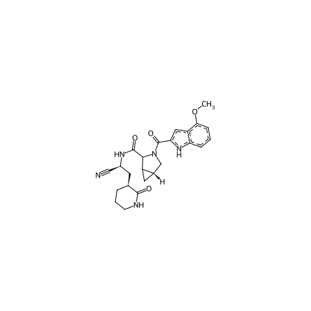 COc1cccc2[nH]c(C(=O)N3C[C@@H]4CC4C3C(=O)N[C@H](C#N)C[C@@H]3CCCNC3=O)cc12